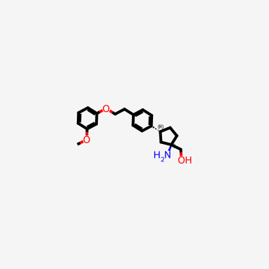 COc1cccc(OCCc2ccc([C@@H]3CC[C@](N)(CO)C3)cc2)c1